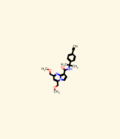 C#Cc1ccc(C(C)(C)NC(=O)c2ccn3c(COC)cc(COC)nc23)cc1